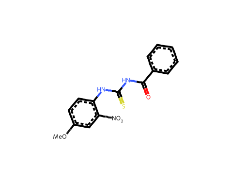 COc1ccc(NC(=S)NC(=O)c2ccccc2)c([N+](=O)[O-])c1